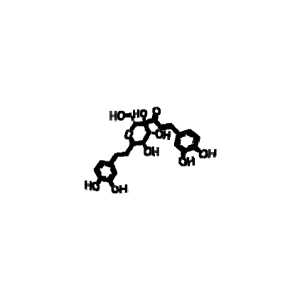 O=C(C=Cc1ccc(O)c(O)c1)[C@]1(O)[C@H](O)[C@@H](O)C(CCc2ccc(O)c(O)c2)O[C@@H]1CO